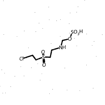 O=S(=O)(CCCl)CCNCOS(=O)(=O)O